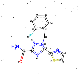 NC(=O)c1nc(-c2nccs2)n(Cc2ccccc2F)n1